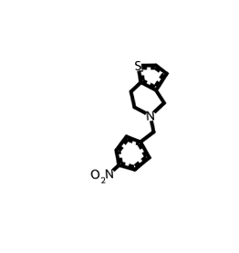 O=[N+]([O-])c1ccc(CN2CCc3sccc3C2)cc1